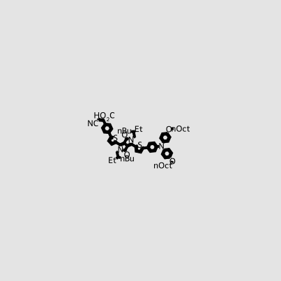 CCCCCCCCOc1ccc(N(c2ccc(OCCCCCCCC)cc2)c2ccc(-c3ccc(C4=C5C(=O)N(CC(CC)CCCC)C(c6ccc(-c7ccc(/C=C(\C#N)C(=O)O)cc7)s6)=C5C(=O)N4CC(CC)CCCC)s3)cc2)cc1